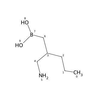 CCCC(CN)CB(O)O